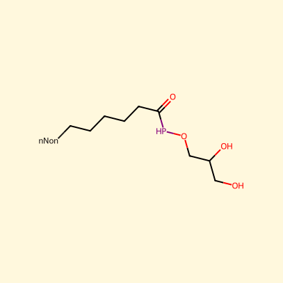 CCCCCCCCCCCCCCC(=O)POCC(O)CO